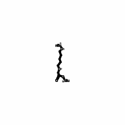 CCCCOCCCCCOCC(=O)OC(C)(C)C